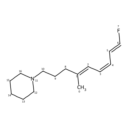 C\C(=C/C=C\C=C\F)CCCN1CCCCC1